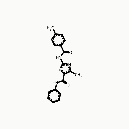 Cc1ccc(C(=O)Nc2nc(C)c(C(=O)Nc3ccccc3)s2)cc1